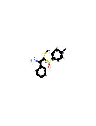 CSC(=C(N)c1ccccc1)[S+]([O-])c1ccc(C)cc1